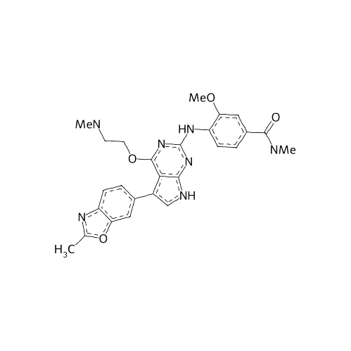 CNCCOc1nc(Nc2ccc(C(=O)NC)cc2OC)nc2[nH]cc(-c3ccc4nc(C)oc4c3)c12